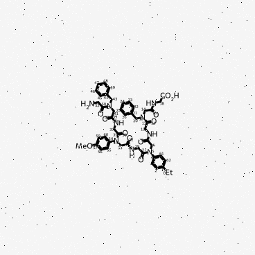 CCc1ccc(N(CC(=O)NCC(=O)N(CC(=O)NCC(=O)O)Cc2ccccc2)C(=O)CNC(=O)CN(C(=O)CNC(=O)CN(Cc2ccccc2)C(=O)CN)c2ccc(OC)cc2)cc1